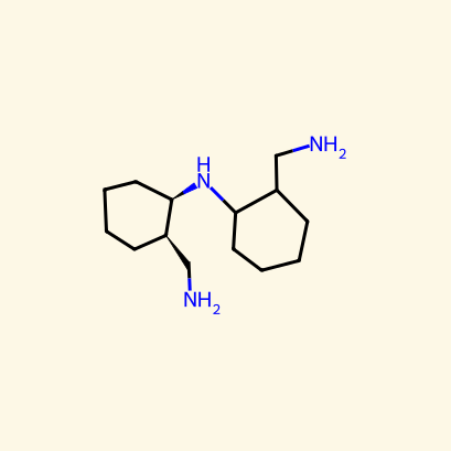 NCC1CCCCC1N[C@@H]1CCCC[C@@H]1CN